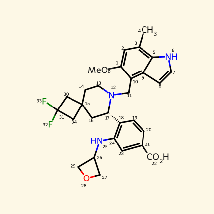 COc1cc(C)c2[nH]ccc2c1CN1CCC2(C[C@H]1c1ccc(C(=O)O)cc1NC1COC1)CC(F)(F)C2